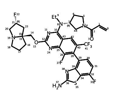 C=CC(=O)N1CC[C@@H](N(CC)c2nc(OC[C@@]34CCCN3C[C@H](F)C4)nc3c(F)c(-c4ccc(F)c5sc(N)nc45)c(C(F)(F)F)cc23)C1